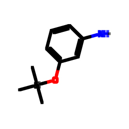 C[Si](C)(C)Oc1cccc([NH])c1